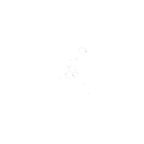 CN1CCN(CCc2cn3cc(C(=O)NCc4ccc(Cl)cc4)c(=O)c4cc(CN5CCOCC5)cc2c43)CC1